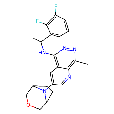 Cc1nnc(NC(C)c2cccc(F)c2F)c2cc(N3C4CCC3COC4)cnc12